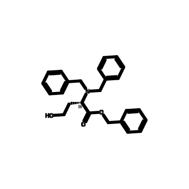 O=C(OCc1ccccc1)[C@H](CCO)N(Cc1ccccc1)Cc1ccccc1